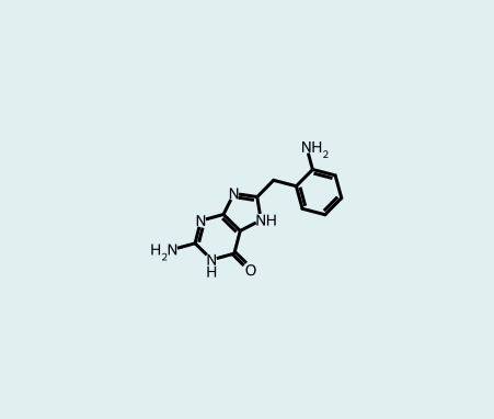 Nc1nc2nc(Cc3ccccc3N)[nH]c2c(=O)[nH]1